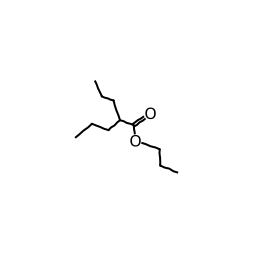 CCCOC(=O)C(CCC)CCC